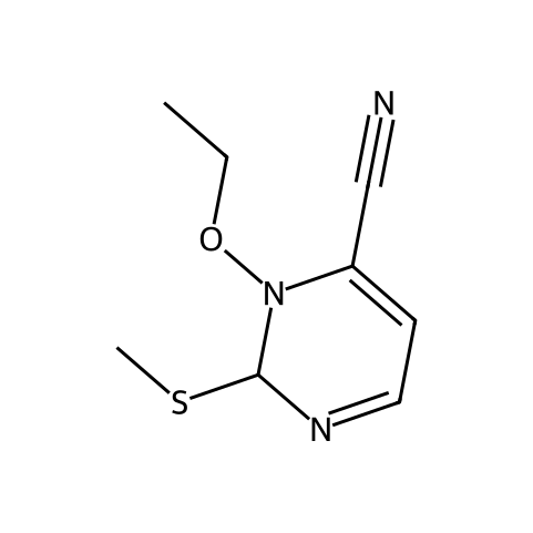 CCON1C(C#N)=CC=NC1SC